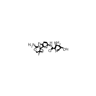 C[C@]1(c2nc(NC(=O)c3ncc(CO)cc3N)ccc2F)N=C(N)OCC1(F)F